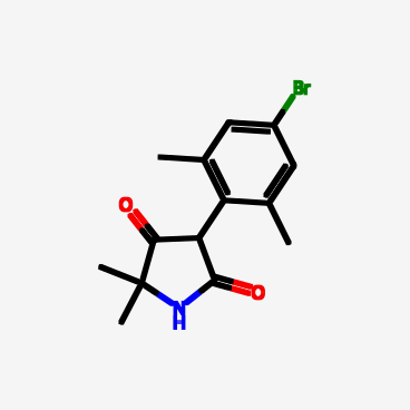 Cc1cc(Br)cc(C)c1C1C(=O)NC(C)(C)C1=O